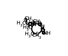 COC(=O)C(C)Cc1cccc([C@@]2(C)CCCC(C)(C)CSCCc3c(c(F)cc4[nH]ccc34)Sc3ccnc(c3)-c3nc2nn3C)c1F